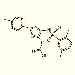 Cc1ccc(-c2cc(NS(=O)(=O)c3cc(C)ccc3C)c(OC(=O)O)s2)cc1